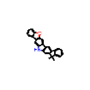 CC1(C)c2ccccc2-c2cc3c(cc21)[nH]c1cc2c(cc13)oc1ccccc12